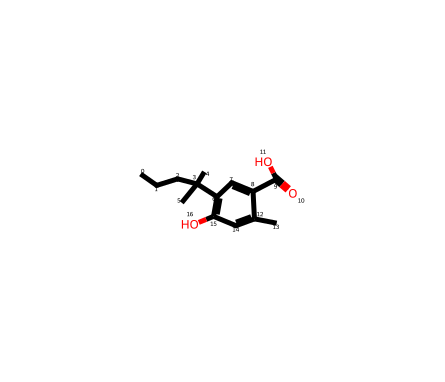 CCCC(C)(C)c1cc(C(=O)O)c(C)cc1O